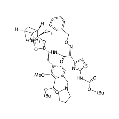 COc1c(C[C@H](NC(=O)/C(=N\OCc2ccccc2)c2csc(NC(=O)OC(C)(C)C)n2)B2OC3C[C@H]4C[C@@H](C4(C)C)[C@]3(C)O2)ccc(CN2CCCC2)c1C(=O)OC(C)(C)C